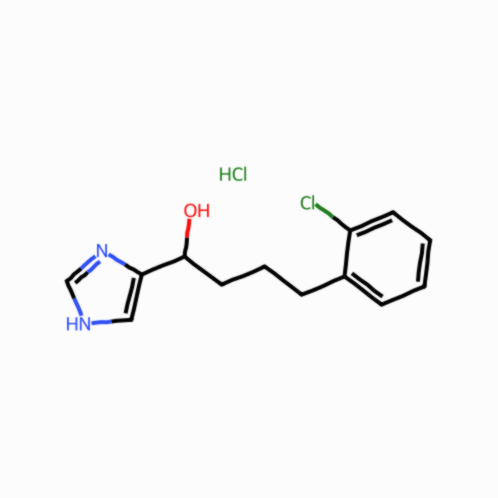 Cl.OC(CCCc1ccccc1Cl)c1c[nH]cn1